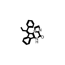 CC/C(c1ccccc1)=c1\c2ccccc2c2[nH]c(=O)c3nccn3c12